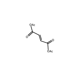 CC(=O)OC(=O)/C=C/C(=O)OC(C)=O